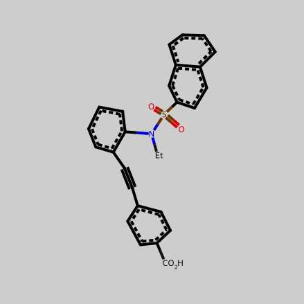 CCN(c1ccccc1C#Cc1ccc(C(=O)O)cc1)S(=O)(=O)c1ccc2ccccc2c1